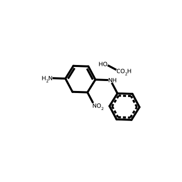 NC1=CC=C(Nc2ccccc2)C([N+](=O)[O-])C1.O=C(O)O